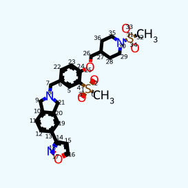 CS(=O)(=O)c1cc(CN2Cc3ccc(-c4ccon4)cc3C2)ccc1OCC1CCN(S(C)(=O)=O)CC1